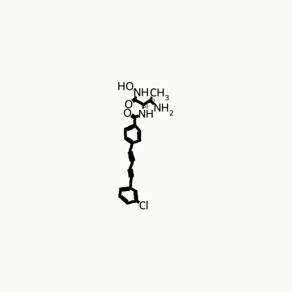 C[C@@H](N)[C@H](NC(=O)c1ccc(C#CC#Cc2cccc(Cl)c2)cc1)C(=O)NO